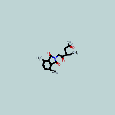 CCC(CC(C)=O)C(=O)CN1C(=O)c2c(C)ccc(C)c2C1=O